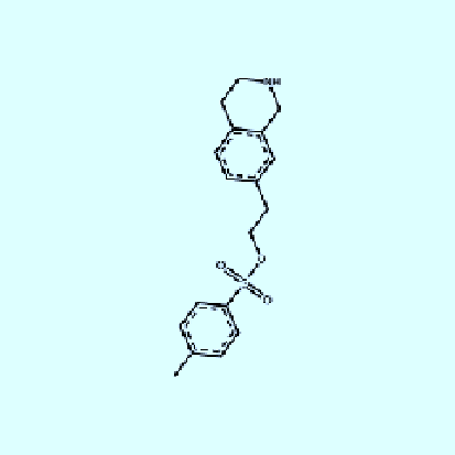 Cc1ccc(S(=O)(=O)OCCc2ccc3c(c2)CNCC3)cc1